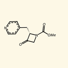 COC(=O)N1CC(=O)[C@@H]1Cc1ccncc1